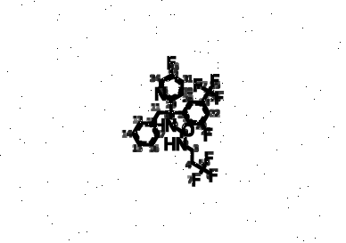 O=C(NCCC(F)(F)F)N[C@@](Cc1ccccc1)(c1cc(F)cc(C(F)(F)F)c1)c1ccc(F)cn1